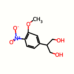 COc1cc(C(CO)CO)ccc1[N+](=O)[O-]